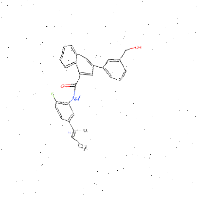 CC/C(=C\C(=O)O)c1ccc(F)c(NC(=O)c2cc(-c3cccc(CO)c3)cc3ccccc23)c1